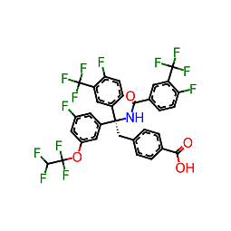 O=C(O)c1ccc(C[C@](NC(=O)c2ccc(F)c(C(F)(F)F)c2)(c2cc(F)cc(OC(F)(F)C(F)F)c2)c2ccc(F)c(C(F)(F)F)c2)cc1